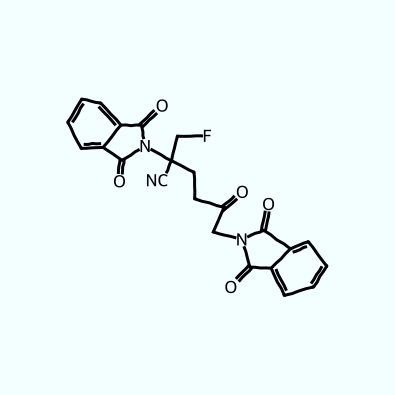 N#CC(CF)(CCC(=O)CN1C(=O)c2ccccc2C1=O)N1C(=O)c2ccccc2C1=O